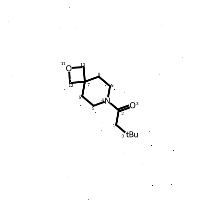 CC(C)(C)CC(=O)N1CCC2(CC1)COC2